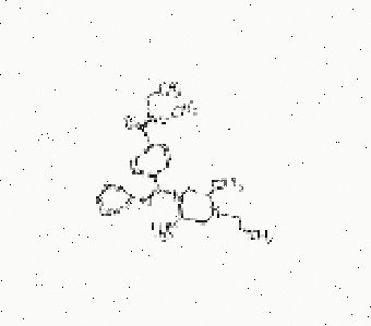 C=CCN1C[C@H](C)N(C(=Nc2ccccc2)c2ccc(C(=O)N(CC)CC)cc2)C[C@H]1C